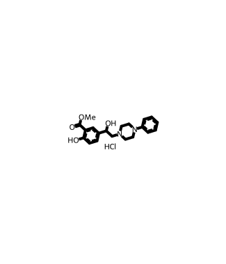 COC(=O)c1cc(C(O)CN2CCN(c3ccccc3)CC2)ccc1O.Cl